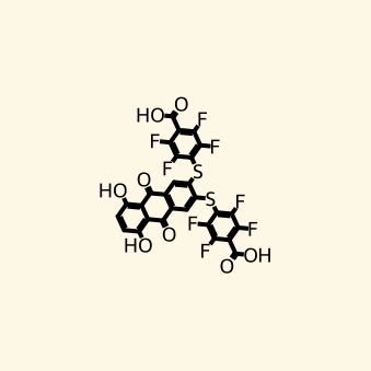 O=C(O)c1c(F)c(F)c(Sc2cc3c(cc2Sc2c(F)c(F)c(C(=O)O)c(F)c2F)C(=O)c2c(O)ccc(O)c2C3=O)c(F)c1F